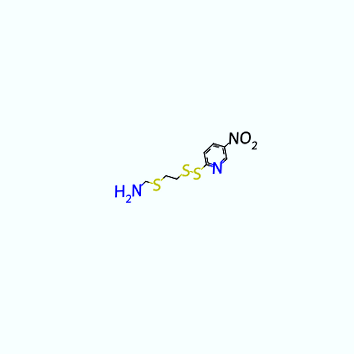 NCSCCSSc1ccc([N+](=O)[O-])cn1